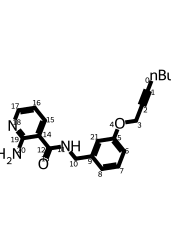 CCCCC#CCOc1cccc(CNC(=O)c2cccnc2N)c1